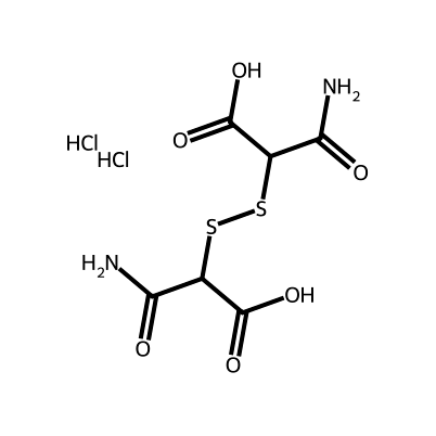 Cl.Cl.NC(=O)C(SSC(C(N)=O)C(=O)O)C(=O)O